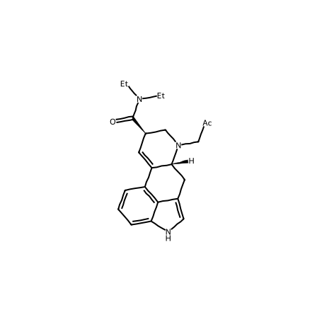 CCN(CC)C(=O)[C@@H]1C=C2c3cccc4[nH]cc(c34)C[C@H]2N(CC(C)=O)C1